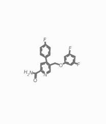 NC(=O)c1cc(-c2ccc(F)cc2)c(COc2cc(F)cc(F)c2)cn1